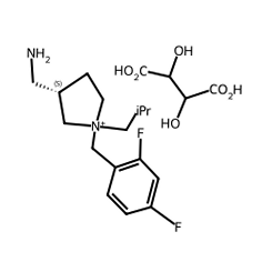 CC(C)C[N+]1(Cc2ccc(F)cc2F)CC[C@@H](CN)C1.O=C(O)C(O)C(O)C(=O)O